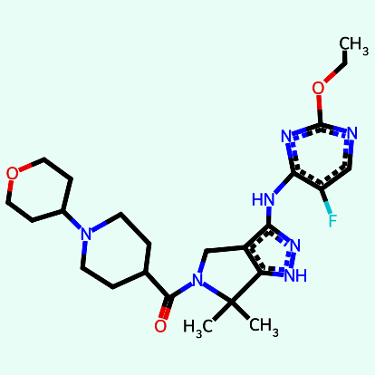 CCOc1ncc(F)c(Nc2n[nH]c3c2CN(C(=O)C2CCN(C4CCOCC4)CC2)C3(C)C)n1